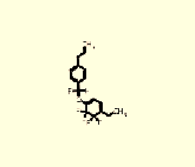 CCCc1ccc(C(F)(F)OC2=CC=C(CC)C(F)(F)C2(F)F)cc1